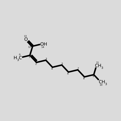 CC(=CCCCCCCC(C)C)C(=O)O